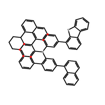 c1ccc(-c2ccc(-c3cccc4ccccc34)cc2N(c2cccc(-c3cccc4c3sc3ccccc34)c2)c2ccccc2-c2cccc3cccc(C4CCCCC4)c23)cc1